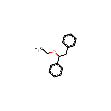 [SiH3]COC(Cc1ccccc1)c1ccccc1